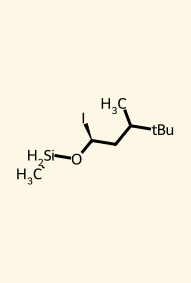 C[SiH2]O[C@@H](I)CC(C)C(C)(C)C